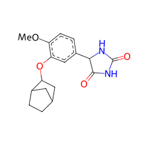 COc1ccc(C2NC(=O)NC2=O)cc1OC1CC2CCC1C2